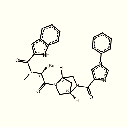 CN(C(=O)c1cc2ccccc2[nH]1)[C@H](C(=O)N1C[C@@H]2C[C@H]1CN2C(=O)c1cn(-c2ccccc2)cn1)C(C)(C)C